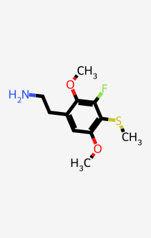 COc1cc(CCN)c(OC)c(F)c1SC